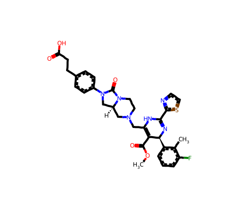 COC(=O)C1=C(CN2CCN3C(=O)N(c4ccc(CCC(=O)O)cc4)C[C@@H]3C2)NC(c2nccs2)=N[C@H]1c1cccc(F)c1C